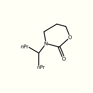 CCCC(CCC)N1CCCOC1=O